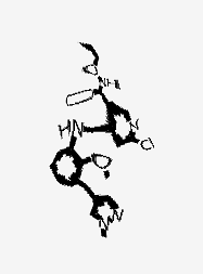 CCONC(=O)c1cnc(Cl)cc1Nc1cccc(-c2cnn(C)c2)c1OC